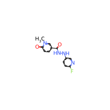 Cn1cc(C(=O)NNc2ccc(F)nc2)ccc1=O